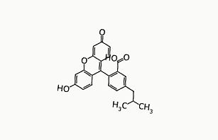 CC(C)Cc1ccc(-c2c3ccc(=O)cc-3oc3cc(O)ccc23)c(C(=O)O)c1